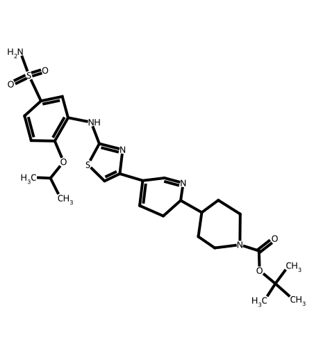 CC(C)Oc1ccc(S(N)(=O)=O)cc1Nc1nc(C2=CCC(C3CCN(C(=O)OC(C)(C)C)CC3)N=C2)cs1